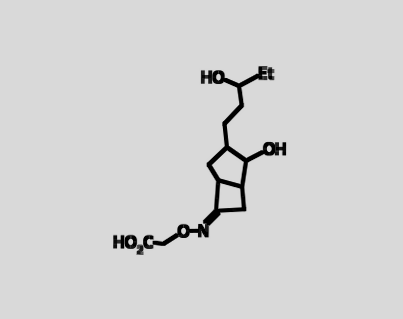 CCC(O)CCC1CC2/C(=N\OCC(=O)O)CC2C1O